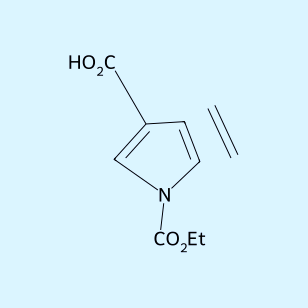 C=C.CCOC(=O)n1ccc(C(=O)O)c1